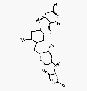 CC1CC(N[C@@H](CC(=O)O)C(=O)O)CCC1CC1CCC(N[C@@H](CC(=O)O)C(=O)O)CC1C